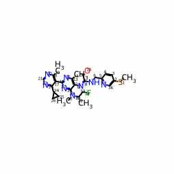 CSc1ccc(CN/C(C=O)=N/c2c(C)nc(-c3c(C)ncnc3C3CC3)nc2N(C)[C@@H](C)CF)nc1